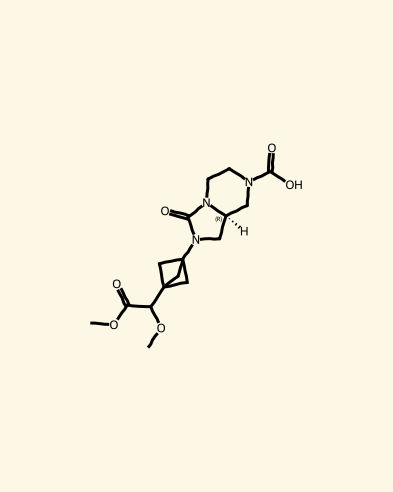 COC(=O)C(OC)C12CC(N3C[C@@H]4CN(C(=O)O)CCN4C3=O)(C1)C2